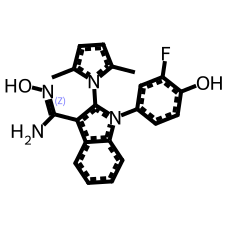 Cc1ccc(C)n1-c1c(/C(N)=N/O)c2ccccc2n1-c1ccc(O)c(F)c1